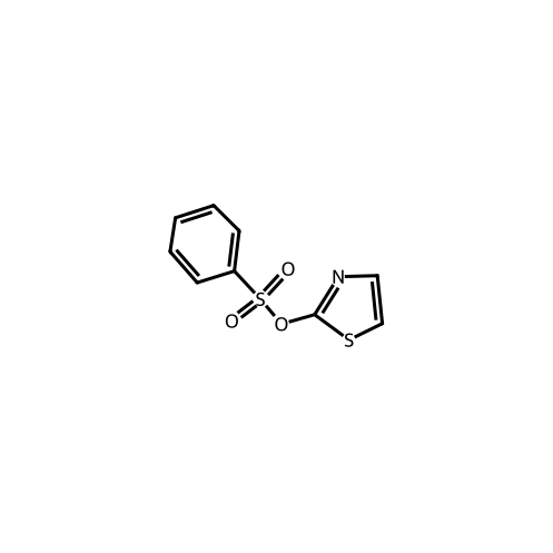 O=S(=O)(Oc1nccs1)c1ccccc1